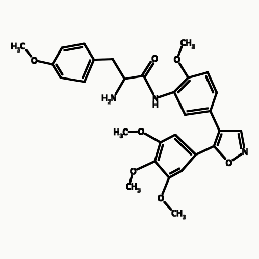 COc1ccc(CC(N)C(=O)Nc2cc(-c3cnoc3-c3cc(OC)c(OC)c(OC)c3)ccc2OC)cc1